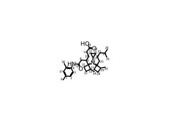 Cc1ccc(NC(=O)CC(CCC(=O)O)C2(N(C3CC3)C3(CCCC(C)C)CCC3C)CCC2C)c(C)c1